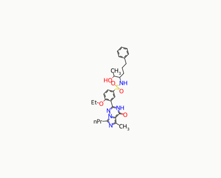 CCCc1nc(C)c2c(=O)[nH]c(-c3cc(S(=O)(=O)NC(CCCc4ccccc4)C(C)O)ccc3OCC)nn12